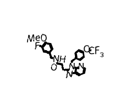 COc1ccc(CNC(=O)CCc2nc3cccnc3n2Cc2ccc(OC(F)(F)F)cc2)cc1F